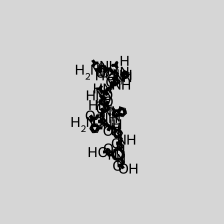 CC(C)C[C@H](NC(=O)C[C@H](O)[C@H](CC(C)C)NC(=O)[C@H](Cc1c[nH]cn1)NC(=O)CNC(=O)[C@@H](NC(=O)[C@H](C)NC(=O)[C@H](Cc1c[nH]c2ccccc12)NC(=O)[C@H](CCC(N)=O)NC(=O)[C@@H](Cc1ccccc1)NC(=O)CN1CCC(NC(=O)CN2CCN(CC(=O)O)CCN(CC(=O)O)CC2)CC1)C(C)C)C(N)=O